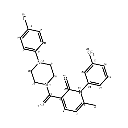 Cc1ccc(C(=O)N2CCN(c3ccc(F)cc3)CC2)c(=O)n1-c1cccc(C(F)(F)F)c1